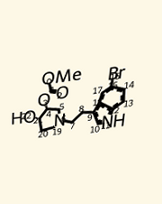 COC(=O)O[C@H]1CN(CCc2c[nH]c3ccc(Br)cc23)CC[C@@H]1O